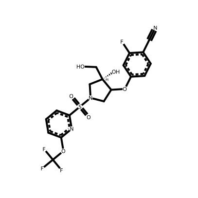 N#Cc1ccc(OC2CN(S(=O)(=O)c3cccc(OC(F)(F)F)n3)C[C@@]2(O)CO)cc1F